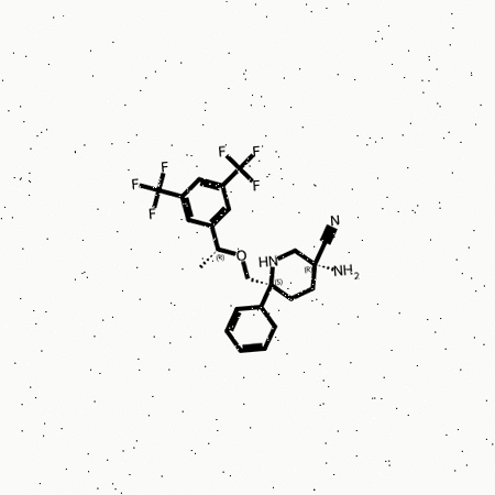 C[C@@H](OC[C@@]1(C2C=CC=CC2)CC[C@](N)(C#N)CN1)c1cc(C(F)(F)F)cc(C(F)(F)F)c1